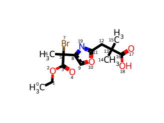 CCOC(=O)C(C)(Br)c1coc(CC(C)(C)C(=O)O)n1